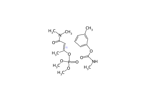 CNC(=O)Oc1cccc(C)c1.COP(=O)(OC)O/C(C)=C/C(=O)N(C)C